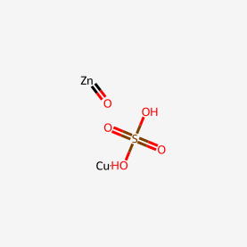 O=S(=O)(O)O.[Cu].[O]=[Zn]